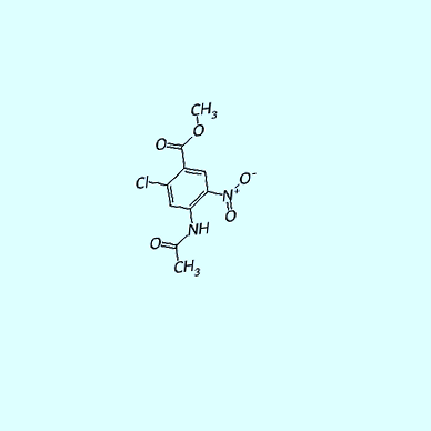 COC(=O)c1cc([N+](=O)[O-])c(NC(C)=O)cc1Cl